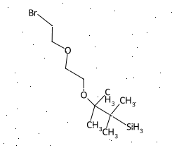 CC(C)([SiH3])C(C)(C)OCCOCCBr